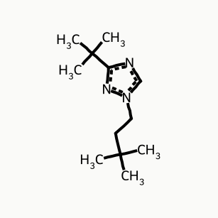 CC(C)(C)CCn1cnc(C(C)(C)C)n1